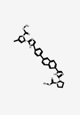 CC1=C[C@@H](c2ncc(-c3ccc(-c4ccc5cc(-c6cnc([C@@H]7CCCN7C(=O)OC(C)(C)C)[nH]6)ccc5c4)cc3)[nH]2)N(C(=O)OC(C)(C)C)C1